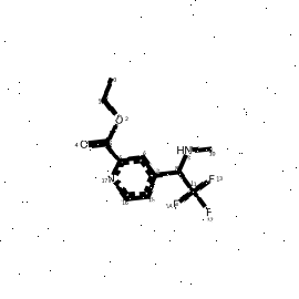 CCOC(=O)c1cc(C(NC)C(F)(F)F)ccn1